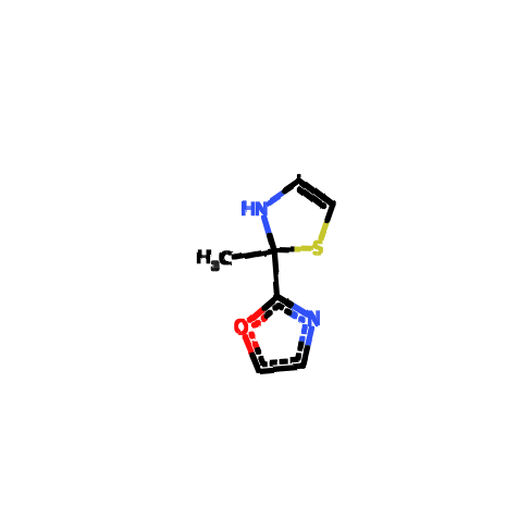 CC1(c2ncco2)N[C]=CS1